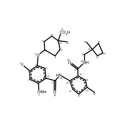 COc1cc(F)c(OC2CCC(C)(C(=O)O)CC2)cc1C(=O)Nc1ccc(C)cc1C(=O)NCC1(C)CCC1